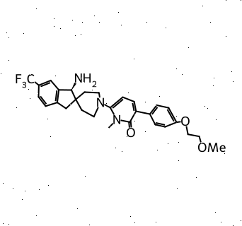 COCCOc1ccc(-c2ccc(N3CCC4(CC3)Cc3ccc(C(F)(F)F)cc3[C@H]4N)n(C)c2=O)cc1